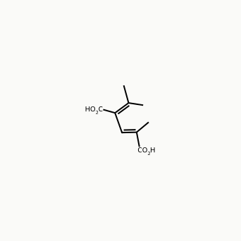 CC(=CC(C(=O)O)=C(C)C)C(=O)O